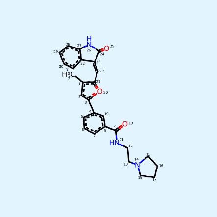 Cc1cc(-c2cccc(C(=O)NCCN3CCCC3)c2)oc1/C=C1/C(=O)Nc2ccccc21